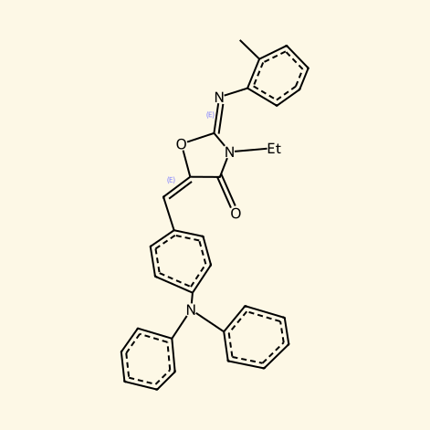 CCN1C(=O)/C(=C\c2ccc(N(c3ccccc3)c3ccccc3)cc2)O/C1=N/c1ccccc1C